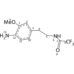 COc1cc(CCNC(=O)C(F)(F)F)ccc1N